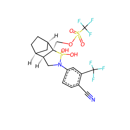 N#Cc1ccc(N2C[C@H]3[C@H]4CC[C@H](C4)[C@@]3(COS(=O)(=O)C(F)(F)F)S2(O)O)cc1C(F)(F)F